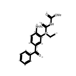 COC(=O)NC(=S)N(CI)c1cc(C(=O)c2ccccc2)ccc1NC(C)=O